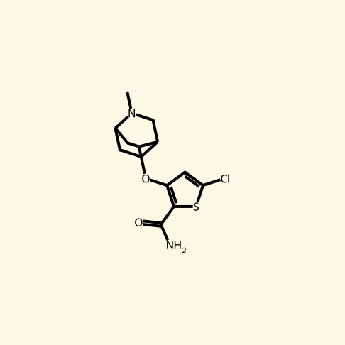 CN1CC2CCC1CC2Oc1cc(Cl)sc1C(N)=O